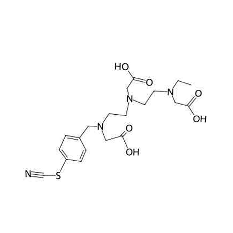 CCN(CCN(CCN(CC(=O)O)Cc1ccc(SC#N)cc1)CC(=O)O)CC(=O)O